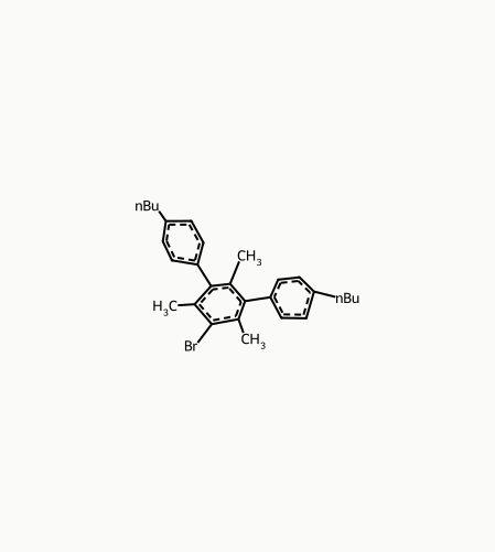 CCCCc1ccc(-c2c(C)c(Br)c(C)c(-c3ccc(CCCC)cc3)c2C)cc1